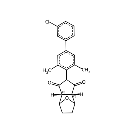 Cc1cc(-c2cccc(Cl)c2)cc(C)c1C1C(=O)[C@@H]2C3CCC(O3)[C@@H]2C1=O